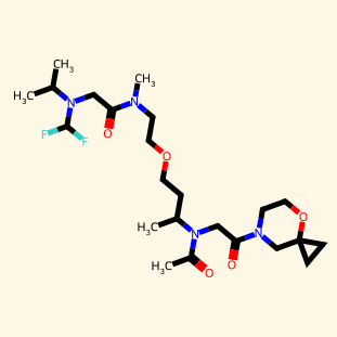 CC(=O)N(CC(=O)N1CCOC2(CC2)C1)C(C)CCOCCN(C)C(=O)CN(C(C)C)C(F)F